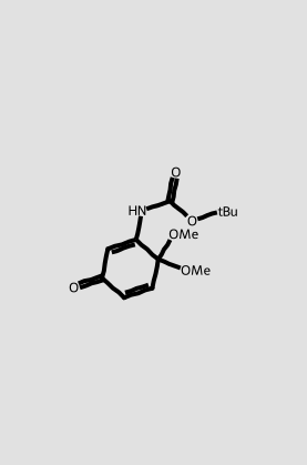 COC1(OC)C=CC(=O)C=C1NC(=O)OC(C)(C)C